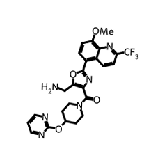 COc1ccc(-c2nc(C(=O)N3CCC(Oc4ncccn4)CC3)c(CN)o2)c2ccc(C(F)(F)F)nc12